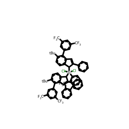 CC(C)(C)c1ccc2c(c1-c1cc(C(F)(F)F)cc(C(F)(F)F)c1)C=C(c1ccccc1)[CH]2[Zr]([Cl])([Cl])([c]1cccc2c1[SiH2]c1ccccc1-2)[CH]1C(c2ccccc2)=Cc2c1ccc(C(C)(C)C)c2-c1cc(C(F)(F)F)cc(C(F)(F)F)c1